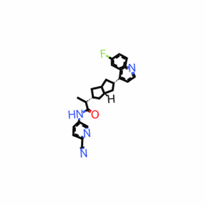 CC(C(=O)Nc1ccc(C#N)nc1)[C@@H]1CC2C[C@H](c3ccnc4ccc(F)cc34)C[C@@H]2C1